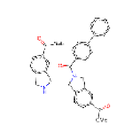 COC(=O)c1ccc2c(c1)CN(C(=O)c1ccc(-c3ccccc3)cc1)C2.COC(=O)c1ccc2c(c1)CNC2